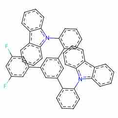 Fc1cc(F)cc(-c2cc(-c3ccccc3-n3c4ccccc4c4ccccc43)cc(-c3ccccc3-n3c4ccccc4c4ccccc43)c2)c1